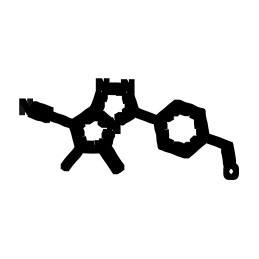 C=c1c(C)c(C#N)c2nnc(-c3ccc(C=O)cc3)n12